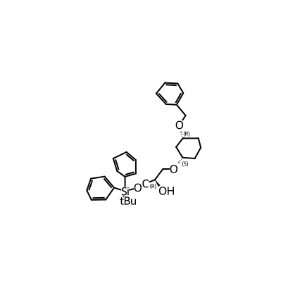 CC(C)(C)[Si](OC[C@H](O)CO[C@H]1CCC[C@@H](OCc2ccccc2)C1)(c1ccccc1)c1ccccc1